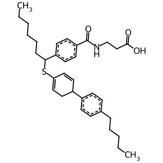 CCCCCCC(SC1=CCC(c2ccc(CCCCC)cc2)C=C1)c1ccc(C(=O)NCCC(=O)O)cc1